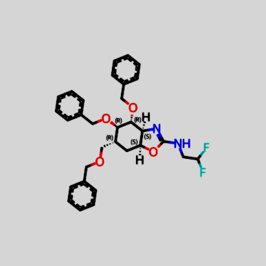 FC(F)CNC1=N[C@@H]2[C@@H](OCc3ccccc3)[C@H](OCc3ccccc3)[C@@H](COCc3ccccc3)C[C@@H]2O1